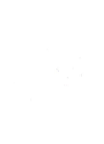 CC1(C)[C@@H]2[C@@H](C=O)N(c3ccc(F)c(F)c3)C(=O)[C@@H]21